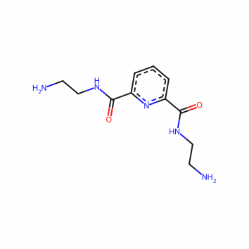 NCCNC(=O)c1cccc(C(=O)NCCN)n1